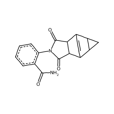 NC(=O)c1ccccc1N1C(=O)C2C3C=CC(C4CC34)C2C1=O